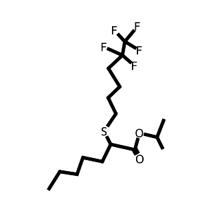 CCCCCC(SCCCCC(F)(F)C(F)(F)F)C(=O)OC(C)C